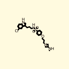 CNC1CN(CCCOc2ccc(S(=O)(=O)NCCCc3c[nH]c4ccc(Cl)cc34)cc2)C1